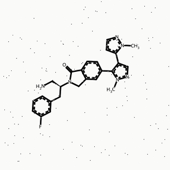 Cn1nccc1-c1cnn(C)c1-c1ccc2c(c1)CN([C@H](CN)Cc1cccc(F)c1)C2=O